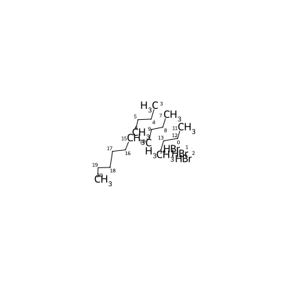 Br.Br.Br.CCCC.CCCC.CCCC.CCCCCC